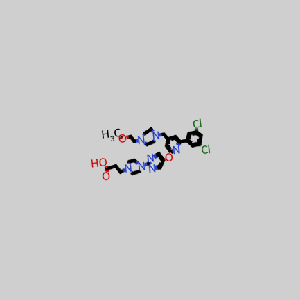 COCCN1CCN(Cc2cc(Oc3cnc(N4CCN(CCC(=O)O)CC4)nc3)nc(-c3cc(Cl)cc(Cl)c3)c2)CC1